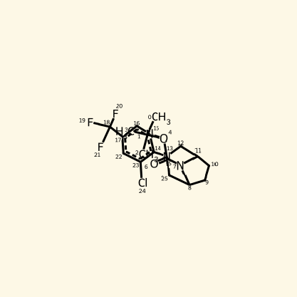 CC(C)(C)OC(=O)N1C2CCC1CN(c1ncc(C(F)(F)F)cc1Cl)C2